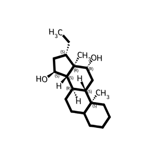 CC[C@H]1C[C@H](O)[C@H]2[C@@H]3CCC4CCCC[C@]4(C)[C@H]3C[C@@H](O)[C@]12C